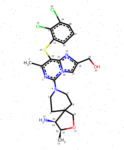 Cc1nc(N2CCC3(CC2)CO[C@@H](C)[C@H]3N)n2cc(CO)nc2c1Sc1cccc(Cl)c1Cl